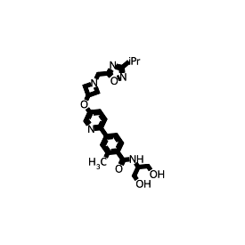 Cc1cc(-c2ccc(OC3CN(Cc4nc(C(C)C)no4)C3)cn2)ccc1C(=O)NC(CO)CO